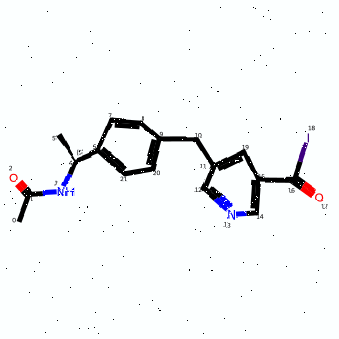 CC(=O)N[C@@H](C)c1ccc(Cc2cncc(C(=O)I)c2)cc1